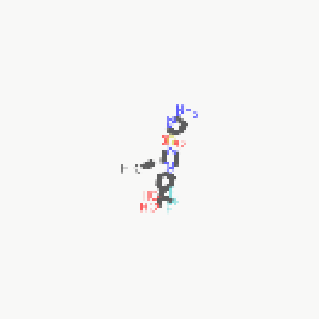 CC#C[C@@H]1CN(S(=O)(=O)c2ccc(N)nc2)CCN1c1ccc([C@](O)(CO)C(F)(F)F)cc1